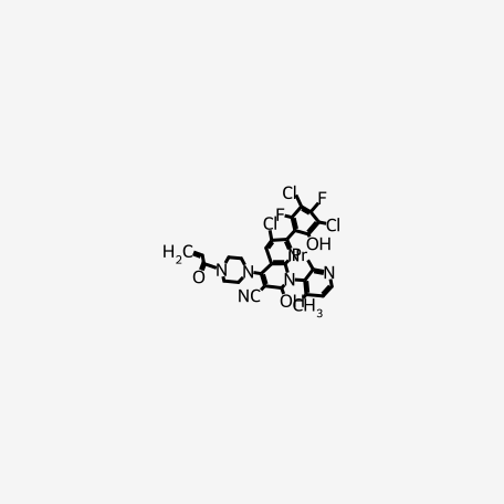 C=CC(=O)N1CCN(C2=C(C#N)C(O)N(c3c(C)ccnc3C(C)C)c3nc(-c4c(O)c(Cl)c(F)c(Cl)c4F)c(Cl)cc32)CC1